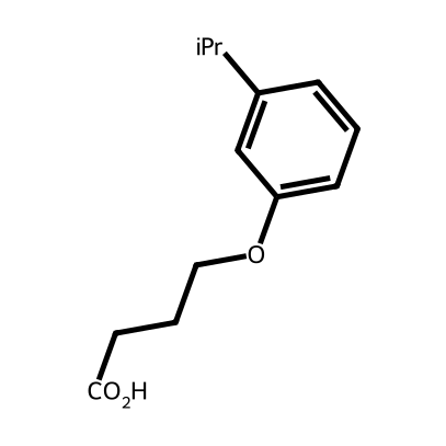 CC(C)c1cccc(OCCCC(=O)O)c1